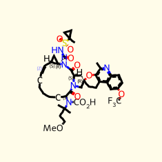 COCCC(C)(C)N(C(=O)O)[C@H]1CCCCC/C=C\[C@@H]2C[C@@]2(C(=O)NS(=O)(=O)C2(C)CC2)NC(=O)[C@@H]2C[C@]3(CCc4c(c(C)nc5ccc(OC(F)(F)F)cc45)O3)CN2C1=O